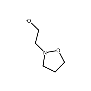 [O]CCN1CCCO1